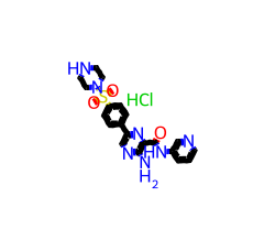 Cl.Nc1ncc(-c2ccc(S(=O)(=O)N3CCNCC3)cc2)nc1C(=O)Nc1cccnc1